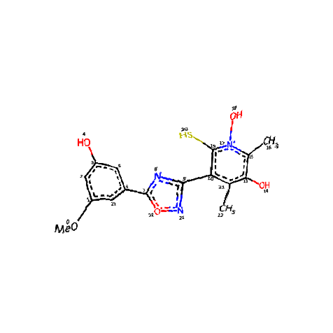 COc1cc(O)cc(-c2nc(-c3c(C)c(O)c(C)[n+](O)c3S)no2)c1